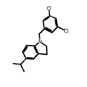 CC(C)c1ccc2c(c1)CCN2Cc1cc(Cl)cc(Cl)c1